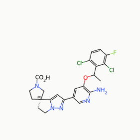 CC(Oc1cc(-c2cc3n(n2)CC[C@@]32CCN(C(=O)O)C2)cnc1N)c1c(Cl)ccc(F)c1Cl